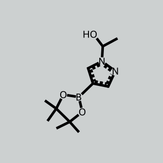 CC(O)n1cc(B2OC(C)(C)C(C)(C)O2)cn1